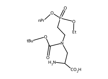 CCCOP(=O)(CCN(CC(N)C(=O)O)C(=O)OC(C)(C)C)OCC